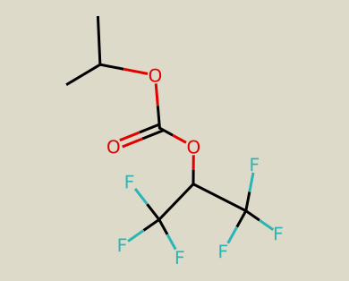 CC(C)OC(=O)OC(C(F)(F)F)C(F)(F)F